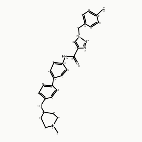 CN1CCC(Oc2ccc(-c3ccc(NC(=O)c4cn(Cc5ccc(Cl)cc5)nn4)cc3)cc2)CC1